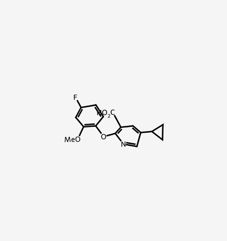 COc1cc(F)ccc1Oc1ncc(C2CC2)cc1C(=O)O